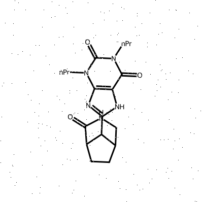 CCCn1c(=O)c2[nH]c(C3C4CCC3C(=O)NC4)nc2n(CCC)c1=O